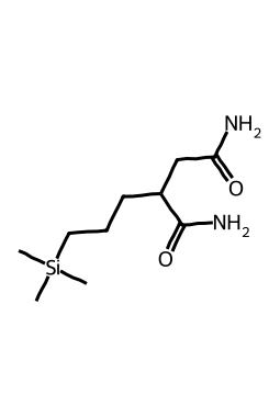 C[Si](C)(C)CCCC(CC(N)=O)C(N)=O